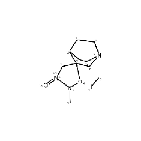 CI.CN1OC2(CN3CCC2CC3)C[N+]1=O